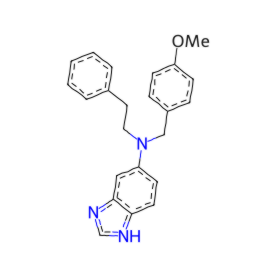 COc1ccc(CN(CCc2ccccc2)c2ccc3[nH]cnc3c2)cc1